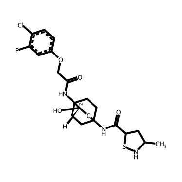 CC1CC(C(=O)NC23CCC(NC(=O)COc4ccc(Cl)c(F)c4)(CC2)[C@@H](O)C3)SN1